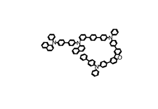 c1ccc(-c2ccc(N(c3ccccc3)c3ccc(-c4ccc5oc6ccc(-c7ccc(N(c8ccccc8)c8ccc(-c9ccc(-c%10cccc(N(c%11ccc(-c%12ccc(N(c%13ccccc%13)c%13cccc%14ccccc%13%14)cc%12)cc%11)c%11cccc%12ccccc%11%12)c%10)cc9)cc8)cc7)cc6c5c4)cc3)cc2)cc1